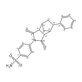 NS(=O)(=O)c1ccc(N2C(=O)C3C4CC(c5ccccc5)C(C4)C3C2=O)cc1